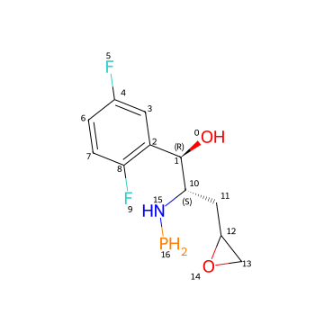 O[C@H](c1cc(F)ccc1F)[C@H](CC1CO1)NP